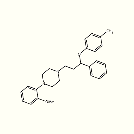 COc1ccccc1N1CCN(CCC(Oc2ccc(C)cc2)c2ccccc2)CC1